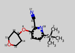 [CH3][Sn]([CH3])([CH3])[c]1ccc(OC2CCOCC2)c(C#N)n1